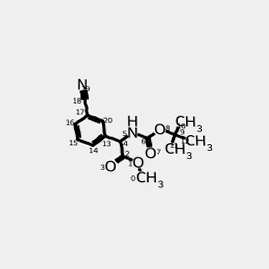 COC(=O)C(NC(=O)OC(C)(C)C)c1cccc(C#N)c1